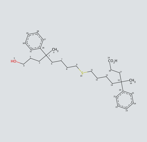 CC(CCCO)(CCCCSCCCCC(C)(CCC(=O)O)c1ccccc1)c1ccccc1